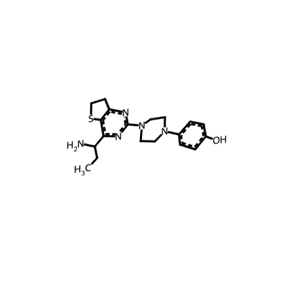 CCC(N)c1nc(N2CCN(c3ccc(O)cc3)CC2)nc2c1SCC2